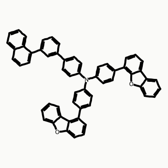 c1cc(-c2ccc(N(c3ccc(-c4cccc5c4oc4ccccc45)cc3)c3ccc(-c4cccc5oc6ccccc6c45)cc3)cc2)cc(-c2cccc3ccccc23)c1